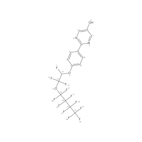 Oc1cnc(-c2ccc(OC(F)C(F)(F)OC(F)(F)C(F)(F)C(F)(F)C(F)(F)F)cc2)nc1